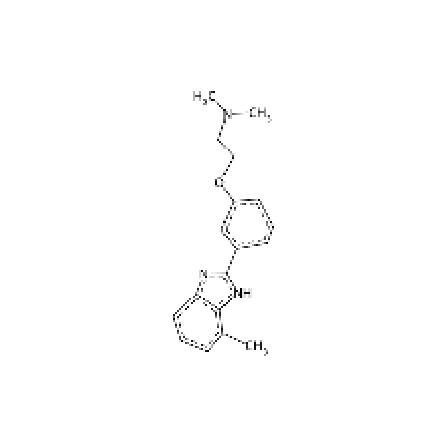 Cc1cccc2nc(-c3cccc(OCCN(C)C)c3)[nH]c12